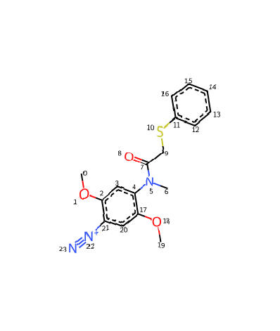 COc1cc(N(C)C(=O)CSc2ccccc2)c(OC)cc1[N+]#N